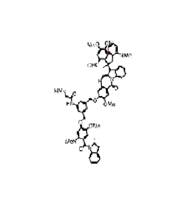 CNCC(=O)Nc1cc(COc2cc3c(cc2OC)C(=O)N2c4ccccc4C(C(C)(Cc4ccccc4NC)c4cc(O)c(OC)cc4C=O)C2C=N3)cc(COc2cc(NC)c(C(=O)N3c4ccccc4C[C@H]3C)cc2OC)c1